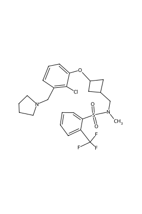 CN(CC1CC(Oc2cccc(CN3CCCC3)c2Cl)C1)S(=O)(=O)c1ccccc1C(F)(F)F